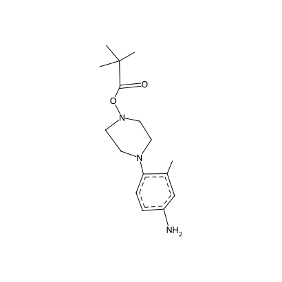 Cc1cc(N)ccc1N1CCN(OC(=O)C(C)(C)C)CC1